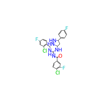 O=C(/N=C(/NCc1ccc(F)cc1Cl)NC1CC(c2ccc(F)cc2)NN1)c1ccc(Cl)c(F)c1